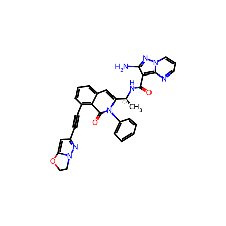 C[C@H](NC(=O)c1c(N)nn2cccnc12)c1cc2cccc(C#Cc3cc4n(n3)CCO4)c2c(=O)n1-c1ccccc1